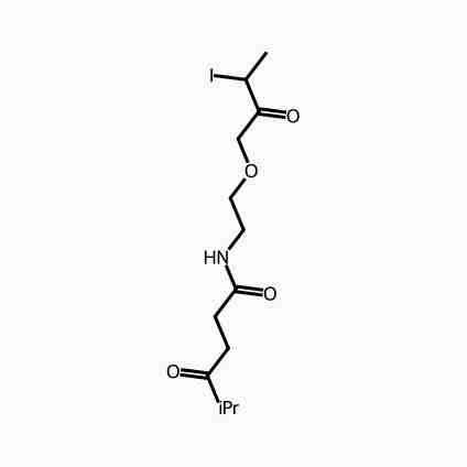 CC(C)C(=O)CCC(=O)NCCOCC(=O)C(C)I